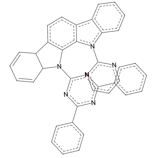 C1=CC2c3ccc4c5ccccc5n(-c5ncccn5)c4c3N(c3nc(-c4ccccc4)nc(-c4ccccc4)n3)C2C=C1